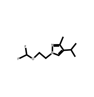 Cc1nn(CCOC(F)F)cc1C(C)C